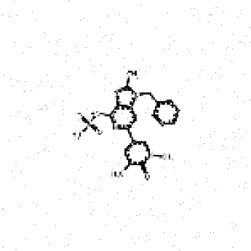 Cc1cc(-c2cc3c(nc(C)n3Cc3ccccc3)c(NS(C)(=O)=O)n2)cn(C)c1=O